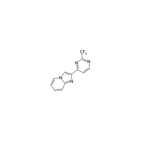 FC(F)(F)c1nccc(-c2cn3ccccc3n2)n1